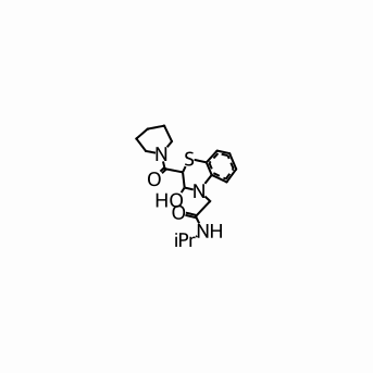 CC(C)NC(=O)CN1c2ccccc2SC(C(=O)N2CCCCC2)C1O